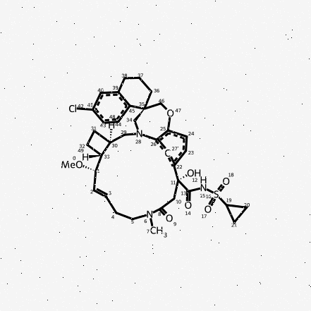 CO[C@H]1/C=C/CCN(C)C(=O)C[C@](O)(C(=O)NS(=O)(=O)C2CC2)c2ccc3c(c2)N(C[C@@H]2CC[C@H]21)C[C@@]1(CCCc2cc(Cl)ccc21)CO3